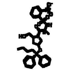 CCCC[Si](OC1CC(CO)N(C(=O)[C@H](C)NS(=O)(=O)c2ccccc2[N+](=O)[O-])C1)(c1ccccc1)c1ccccc1